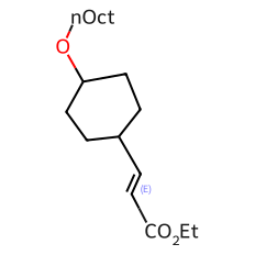 CCCCCCCCOC1CCC(/C=C/C(=O)OCC)CC1